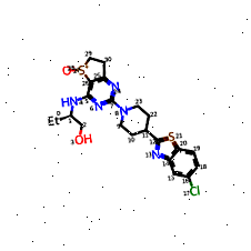 CC[C@H](CO)Nc1nc(N2CCC(c3nc4cc(Cl)ccc4s3)CC2)nc2c1[S+]([O-])CC2